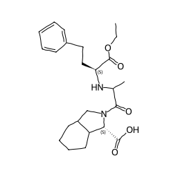 CCOC(=O)[C@H](CCc1ccccc1)NC(C)C(=O)N1CC2CCCCC2[C@H]1C(=O)O